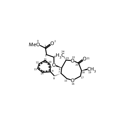 COC(=O)CCO[C@@H]1[C@@H](Cc2ccccc2)COC[C@H](C)C(=O)O[C@H]1C